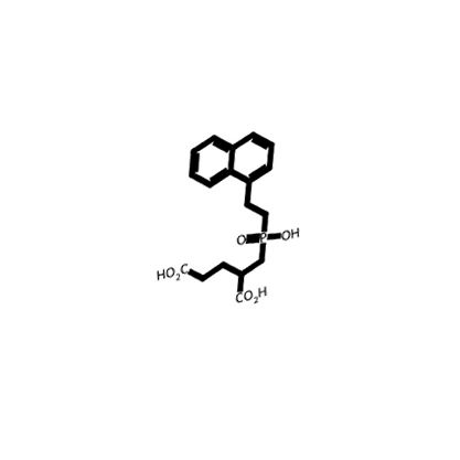 O=C(O)CCC(CP(=O)(O)CCc1cccc2ccccc12)C(=O)O